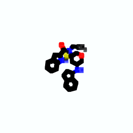 CCN(C(=O)c1cc2ccccc2[nH]1)C1(S)COC[C@@H](N[C@@H]2CCc3ccccc32)C1